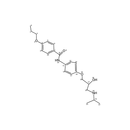 CCCOc1ccc(C(=O)Nc2ccc(OCC(O)CNC(C)C)cc2)cc1